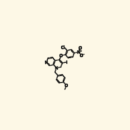 COc1ccc(CN2CC(I)=C(Oc3ccc([N+](=O)[O-])cc3Cl)c3ccncc32)cc1